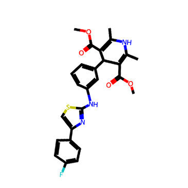 COC(=O)C1=C(C)NC(C)=C(C(=O)OC)C1c1cccc(Nc2nc(-c3ccc(F)cc3)cs2)c1